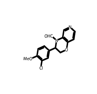 COc1ccc(C2COc3ccncc3N2C=O)cc1Cl